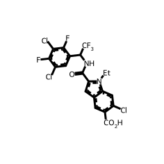 CCn1c(C(=O)NC(c2cc(Cl)c(F)c(Cl)c2F)C(F)(F)F)cc2cc(C(=O)O)c(Cl)cc21